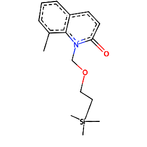 Cc1cccc2ccc(=O)n(COCC[Si](C)(C)C)c12